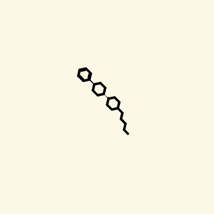 CCCCCC1CC[C]([C@H]2CC[C@H](c3ccccc3)CC2)CC1